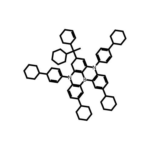 CC(C1C=CCCC1)(C1C=C2C3=C(C1)N(C1=CCC(C4CCCCC4)C=C1)c1ccc(C4CCCCC4)cc1B3c1cc(C3CCCCC3)ccc1N2c1ccc(C2CCCCC2)cc1)C1CCCCC1